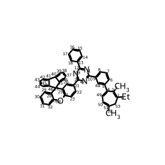 CCC1=C(C)C(c2cccc(-c3nc(-c4ccccc4)nc(-c4ccc5c(c4)C4(c6ccccc6O5)c5ccccc5-c5ccccc54)n3)c2)=CC=C(C)C1